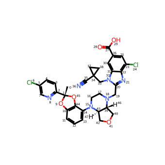 C[C@]1(c2ccc(Cl)cn2)Oc2cccc(N3CCN(Cc4nc5c(Cl)cc(C(=O)O)cc5n4CC4(C#N)CC4)[C@@H]4COC[C@H]43)c2O1